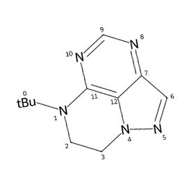 CC(C)(C)N1CCn2ncc3ncnc1c32